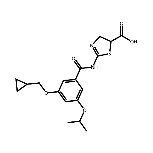 CC(C)Oc1cc(OCC2CC2)cc(C(=O)NC2=NCC(C(=O)O)S2)c1